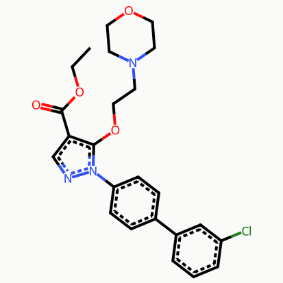 CCOC(=O)c1cnn(-c2ccc(-c3cccc(Cl)c3)cc2)c1OCCN1CCOCC1